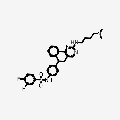 CN(C)CCCCNc1ncc2c(n1)-c1ccccc1C(c1ccc(NS(=O)(=O)c3ccc(F)c(F)c3)cc1)C2